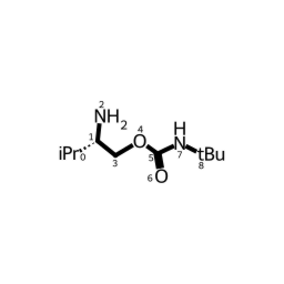 CC(C)[C@H](N)COC(=O)NC(C)(C)C